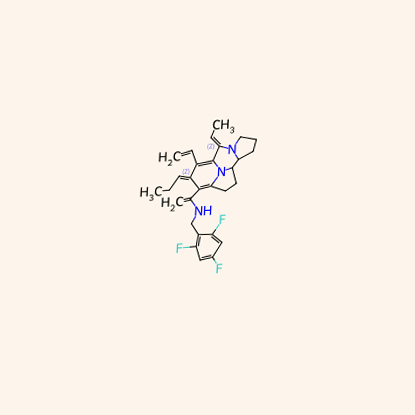 C=CC1=C2C(=C/C)/N3CCCC3C3CCC(=C(C(=C)NCc4c(F)cc(F)cc4F)/C1=C\CC)N23